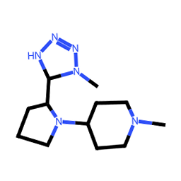 CN1CCC(N2CCCC2C2NN=NN2C)CC1